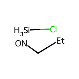 CCCN=O.[SiH3]Cl